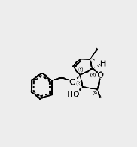 C[C@@H]1C=C[C@]2(OCc3ccccc3)[C@H](O)[C@H](C)O[C@H]12